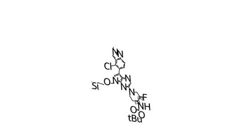 Cn1cc2c(Cl)c(-c3cn(COCC[Si](C)(C)C)c4nc(N5CC[C@H](NC(=O)OC(C)(C)C)[C@H](F)C5)cnc34)ccc2n1